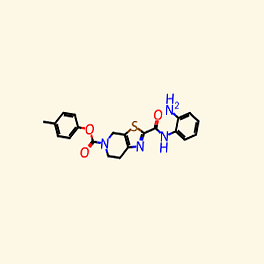 Cc1ccc(OC(=O)N2CCc3nc(C(=O)Nc4ccccc4N)sc3C2)cc1